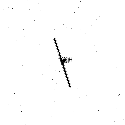 CCCCCCCCCCCCCCCCN(CCCCCCCCCCCCCCCC)CC(O)O.Cl